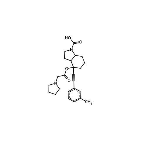 Cc1cccc(C#CC2(OC(=O)CN3CCCC3)CCCC3C2CCN3C(=O)O)c1